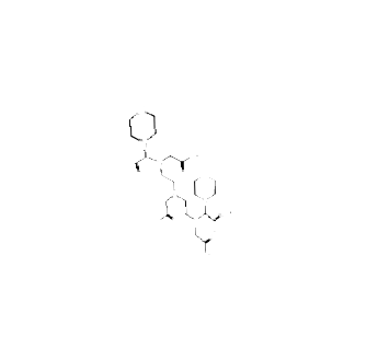 O=CC(N1CCOCC1)N(CCN(CCN(CC(=O)O)C(C=O)N1CCOCC1)CC(=O)O)CC(=O)O